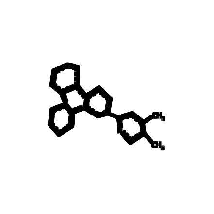 Cc1cnc(-c2ccc3c4ccccc4c4ccccc4c3c2)cc1C